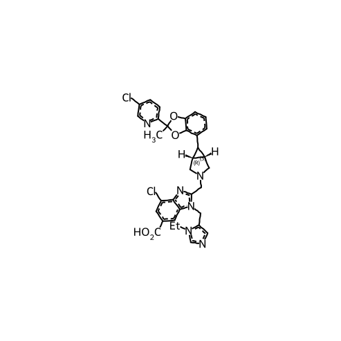 CCn1cncc1Cn1c(CN2C[C@@H]3C(c4cccc5c4OC(C)(c4ccc(Cl)cn4)O5)[C@@H]3C2)nc2c(Cl)cc(C(=O)O)cc21